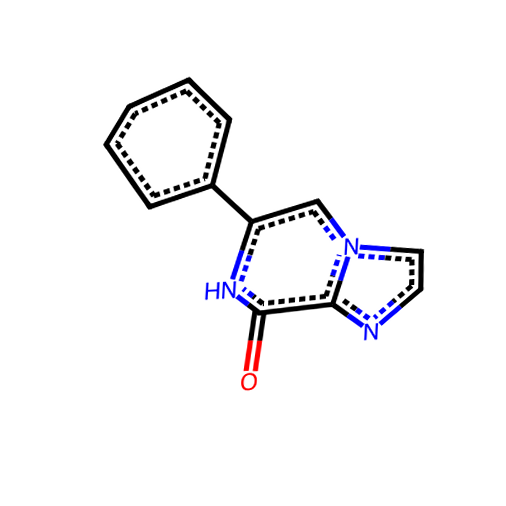 O=c1[nH]c(-c2ccccc2)cn2ccnc12